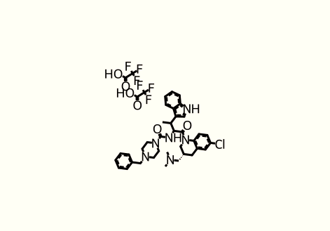 CC(c1c[nH]c2ccccc12)C(NC(=O)N1CCN(Cc2ccccc2)CC1)C(=O)N1C[C@@H](CN(C)C)Cc2cc(Cl)ccc21.O=C(O)C(F)(F)F.O=C(O)C(F)(F)F